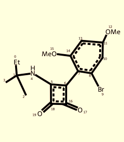 CCC(C)(C)Nc1c(-c2c(Br)cc(OC)cc2OC)c(=O)c1=O